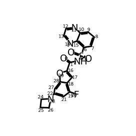 O=C(NS(=O)(=O)c1cccc2nccnc12)c1cc2c(F)cc(N3CCC3)cc2o1